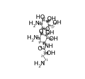 NCC[C@H](O)C(=O)N[C@@H]1CC(N)[C@@H](O[C@H]2OC(CO)[C@@H](O)C(O)C2N)C(O)C1O